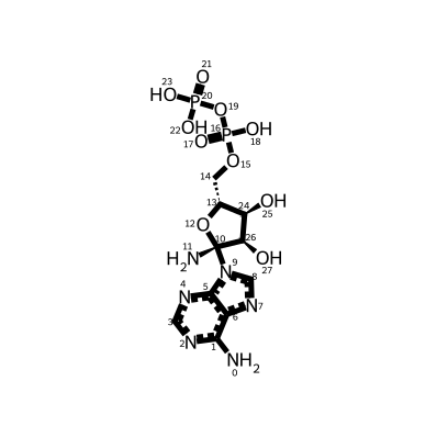 Nc1ncnc2c1ncn2[C@]1(N)O[C@H](COP(=O)(O)OP(=O)(O)O)[C@@H](O)[C@H]1O